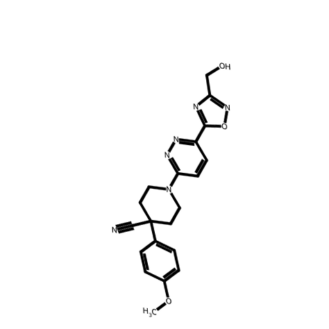 COc1ccc(C2(C#N)CCN(c3ccc(-c4nc(CO)no4)nn3)CC2)cc1